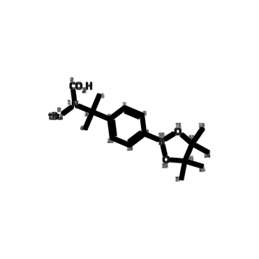 CC(C)(C)N(C(=O)O)C(C)(C)c1ccc(B2OC(C)(C)C(C)(C)O2)cc1